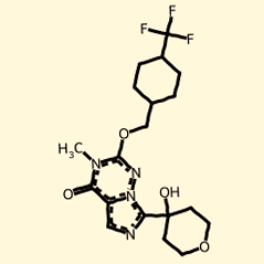 Cn1c(OCC2CCC(C(F)(F)F)CC2)nn2c(C3(O)CCOCC3)ncc2c1=O